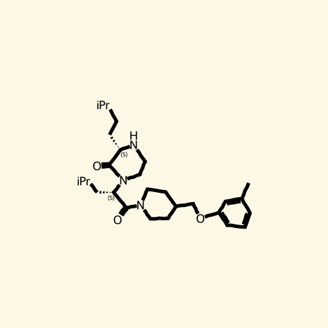 Cc1cccc(OCC2CCN(C(=O)[C@H](CC(C)C)N3CCN[C@@H](CCC(C)C)C3=O)CC2)c1